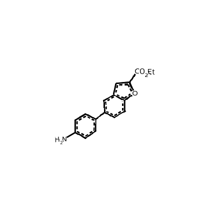 CCOC(=O)c1cc2cc(-c3ccc(N)cc3)ccc2o1